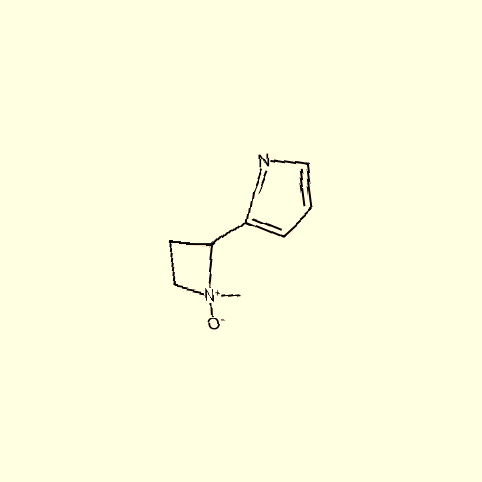 C[N+]1([O-])CCC1c1cccnc1